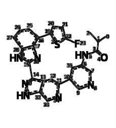 CC(C)C(=O)Nc1cncc(-c2cc3c(-c4nc5c(-c6ccc(F)s6)cccc5[nH]4)n[nH]c3cn2)c1